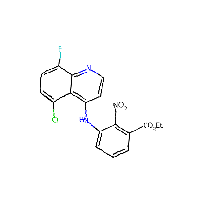 CCOC(=O)c1cccc(Nc2ccnc3c(F)ccc(Cl)c23)c1[N+](=O)[O-]